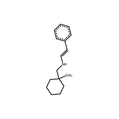 CC(=O)OC1(CNC=Cc2ccccc2)CCCCC1